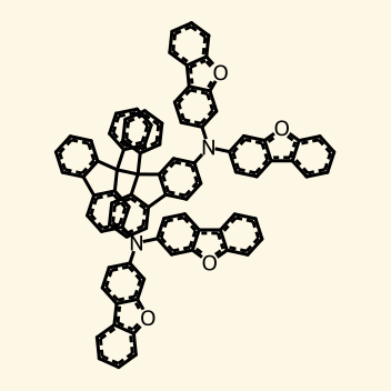 c1ccc(C2(C3(c4ccccc4)c4ccccc4-c4ccc(N(c5ccc6c(c5)oc5ccccc56)c5ccc6c(c5)oc5ccccc56)cc43)c3ccccc3-c3ccc(N(c4ccc5c(c4)oc4ccccc45)c4ccc5c(c4)oc4ccccc45)cc32)cc1